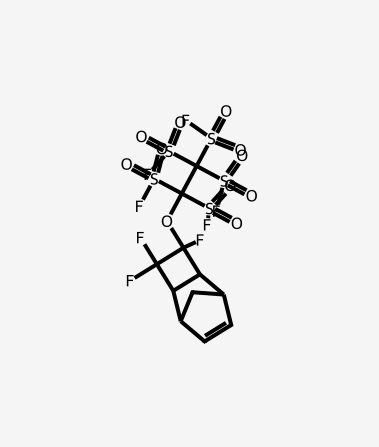 O=S(=O)(F)C(OC1(F)C2C3C=CC(C3)C2C1(F)F)(C(S(=O)(=O)F)(S(=O)(=O)F)S(=O)(=O)F)S(=O)(=O)F